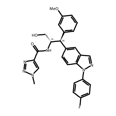 COc1cccc([C@@H](c2ccc3c(cnn3-c3ccc(F)cc3)c2)[C@@H](CO)NC(=O)c2cn(C)nn2)c1